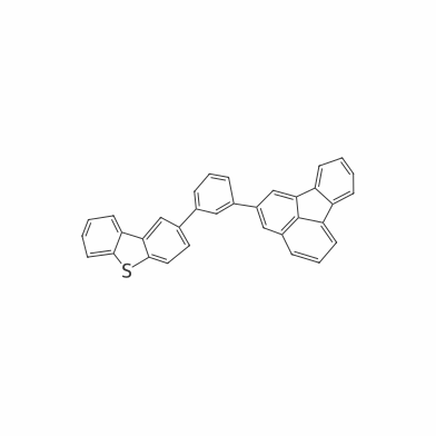 c1cc(-c2cc3c4c(cccc4c2)-c2ccccc2-3)cc(-c2ccc3sc4ccccc4c3c2)c1